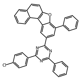 Clc1ccc(-c2nc(-c3ccccc3)nc(-c3cc(-c4ccccc4)c4oc5ccc6ccccc6c5c4c3)n2)cc1